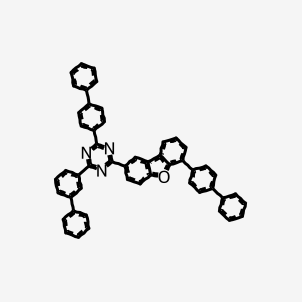 c1ccc(-c2ccc(-c3nc(-c4cccc(-c5ccccc5)c4)nc(-c4ccc5oc6c(-c7ccc(-c8ccccc8)cc7)cccc6c5c4)n3)cc2)cc1